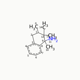 CC1Cc2ccccc2C(C)(N)C1(C)C